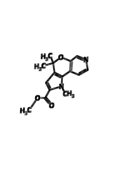 COC(=O)c1cc2c(n1C)-c1ccncc1OC2(C)C